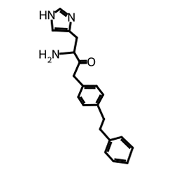 NC(Cc1c[nH]cn1)C(=O)Cc1ccc(CCc2ccccc2)cc1